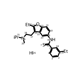 CCc1cccc(C(=S)Nc2ccc3oc(CC)c(CCN(C)C(C)C)c3c2)c1.I